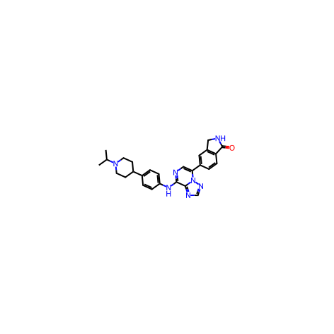 CC(C)N1CCC(c2ccc(Nc3ncc(-c4ccc5c(c4)CNC5=O)n4ncnc34)cc2)CC1